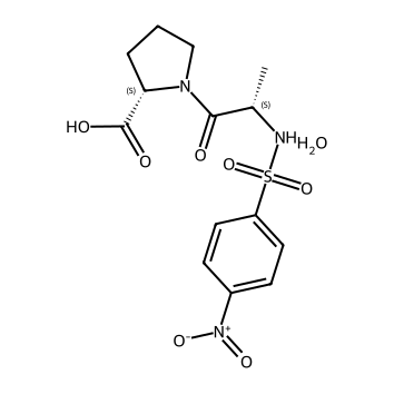 C[C@H](NS(=O)(=O)c1ccc([N+](=O)[O-])cc1)C(=O)N1CCC[C@H]1C(=O)O.O